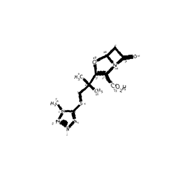 Cn1nnnc1SCC(C)(C)C1=C(C(=O)O)N2C(=O)CC2O1